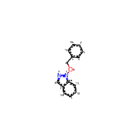 c1ccc(COn2ncc3ccccc32)cc1